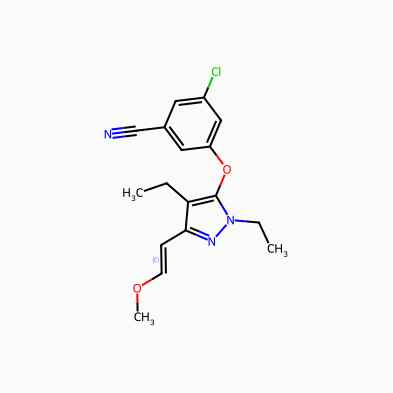 CCc1c(/C=C/OC)nn(CC)c1Oc1cc(Cl)cc(C#N)c1